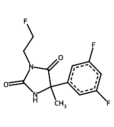 CC1(c2cc(F)cc(F)c2)NC(=O)N(CCF)C1=O